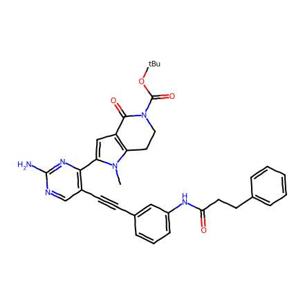 Cn1c(-c2nc(N)ncc2C#Cc2cccc(NC(=O)CCc3ccccc3)c2)cc2c1CCN(C(=O)OC(C)(C)C)C2=O